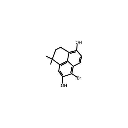 CC1(C)CCc2c(O)ccc3c(Br)c(O)cc1c23